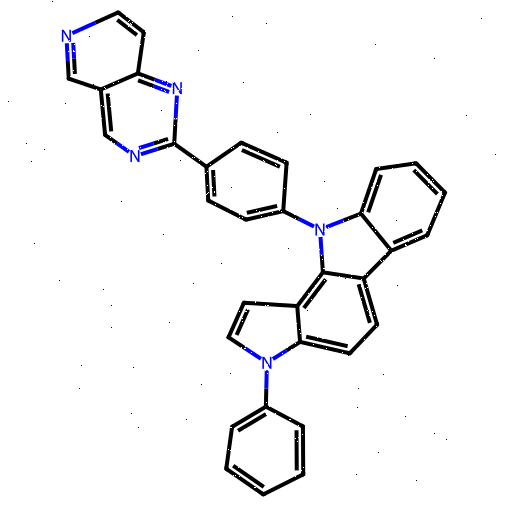 c1ccc(-n2ccc3c2ccc2c4ccccc4n(-c4ccc(-c5ncc6cnccc6n5)cc4)c23)cc1